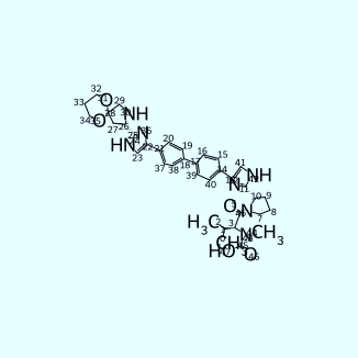 CC(C)[C@@H](C(=O)N1CCC[C@H]1c1nc(-c2ccc(-c3ccc(-c4c[nH]c([C@@H]5CC6(CN5)OCCCO6)n4)cc3)cc2)c[nH]1)N(C)C(=O)O